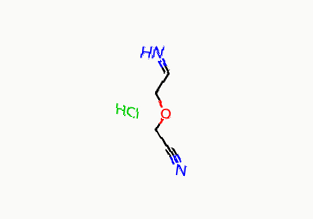 Cl.N#CCOCC=N